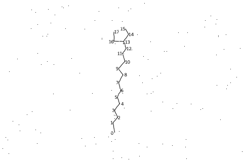 CCCCCCCCCCCCC[C](CC)CC